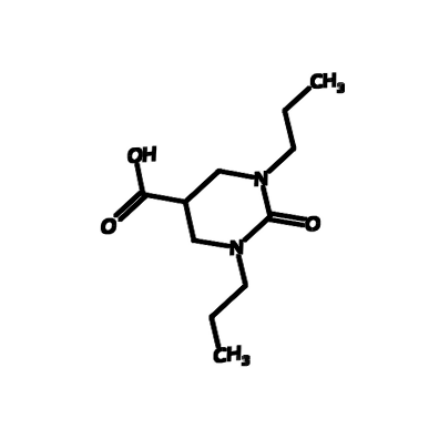 CCCN1CC(C(=O)O)CN(CCC)C1=O